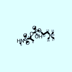 CNS(=O)(=O)C(C)OP(=O)(O)OCC[N+](C)(C)C